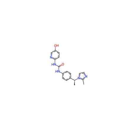 Cc1nccn1[C@@H](C)c1ccc(NC(=O)Nc2ccc(O)cn2)cc1